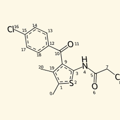 Cc1sc(NC(=O)CCl)c(C(=O)c2ccc(Cl)cc2)c1C